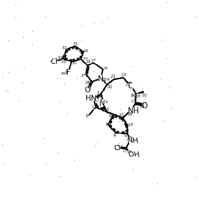 Cc1[nH]c2nc1-c1ccc(NC(=O)O)cc1NC(=O)[C@H](C)CCC[C@@H]2N1CCC(c2cccc(Cl)c2F)=CC1=O